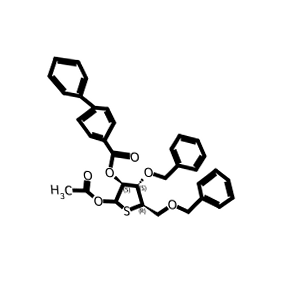 CC(=O)OC1S[C@H](COCc2ccccc2)[C@@H](OCc2ccccc2)[C@@H]1OC(=O)c1ccc(-c2ccccc2)cc1